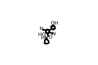 N#Cc1cc(-c2cccc(O)c2)c(C#N)c(C(=O)NC2CCCCC2)c1O